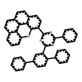 c1ccc(-c2ccc(-c3ccccc3)c(-c3nc(-c4ccccc4)nc(-c4ccc5ccc6ccc7cccc8c7c6c5c4O8)n3)c2)cc1